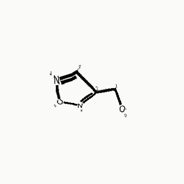 [O]Cc1cnon1